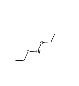 CC[O][Hf][O]CC